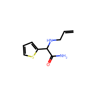 C=CCNC(C(N)=O)c1cccs1